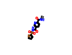 CCNC(=O)c1ccc(C(=O)NS(=O)(=O)c2cccs2)cn1